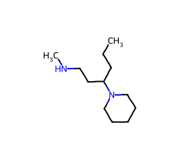 CCCC(CCNC)N1CCCCC1